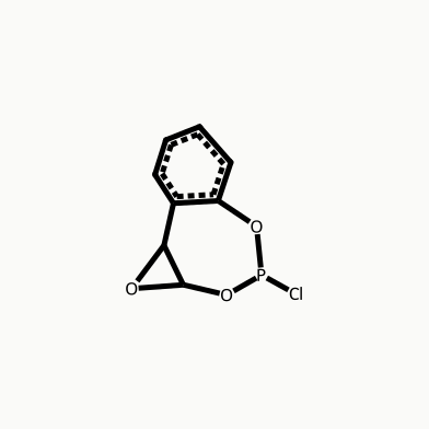 ClP1Oc2ccccc2C2OC2O1